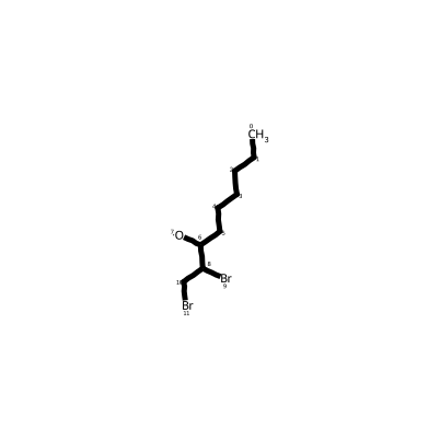 CCCCCCC([O])C(Br)CBr